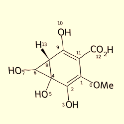 COC1=C(O)C2(O)C(O)[C@@H]2C(O)=C1C(=O)O